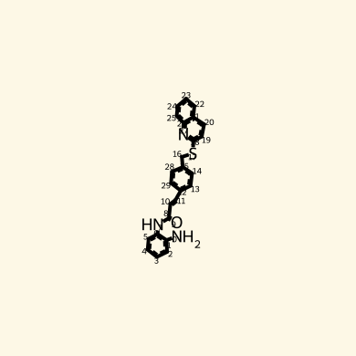 Nc1ccccc1NC(=O)/C=C/c1ccc(CSc2ccc3ccccc3n2)cc1